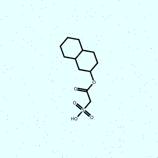 O=C(CS(=O)(=O)O)OC1CCC2CCCCC2C1